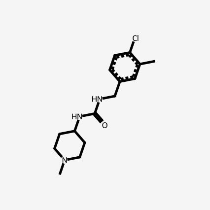 Cc1cc(CNC(=O)NC2CCN(C)CC2)ccc1Cl